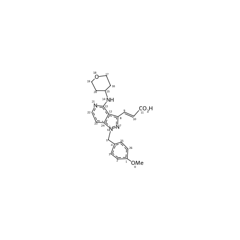 COc1ccc(Cn2nc(/C=C/C(=O)O)c3c(NC4CCOCC4)nccc32)cc1